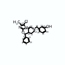 Cc1nc(OC(c2ccccc2)C2CCN(Cc3cccc(O)c3)CC2)[nH]c1Cl